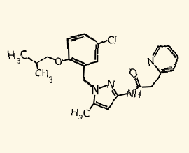 Cc1cc(NC(=O)Cc2ccccn2)nn1Cc1cc(Cl)ccc1OCC(C)C